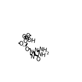 COC[C@H](COP(=O)(O)OC)OCn1cnc2c(=O)[nH]c(N)nc21